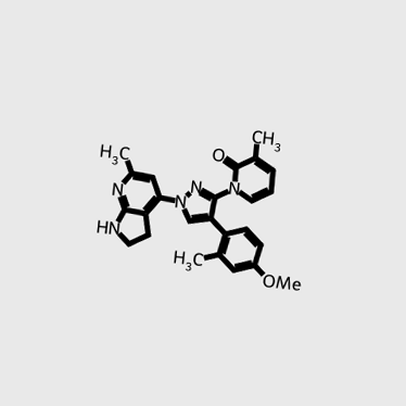 COc1ccc(-c2cn(-c3cc(C)nc4c3CCN4)nc2-n2cccc(C)c2=O)c(C)c1